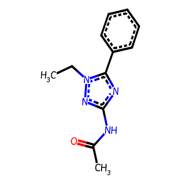 CCn1nc(NC(C)=O)nc1-c1ccccc1